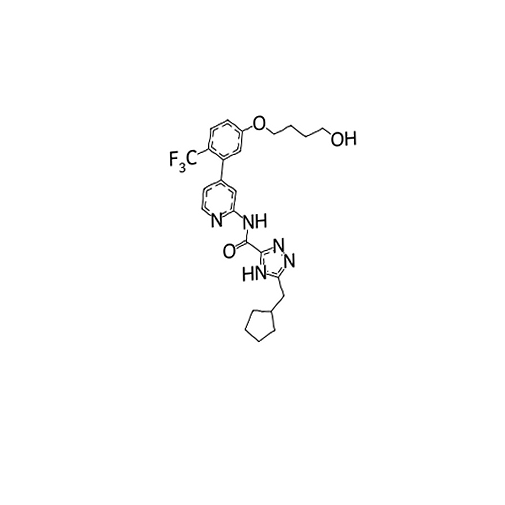 O=C(Nc1cc(-c2cc(OCCCCO)ccc2C(F)(F)F)ccn1)c1nnc(CC2CCCC2)[nH]1